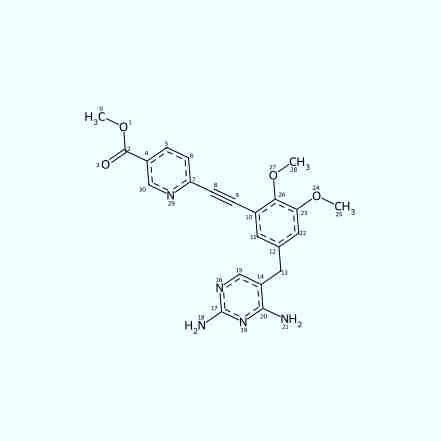 COC(=O)c1ccc(C#Cc2cc(Cc3cnc(N)nc3N)cc(OC)c2OC)nc1